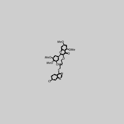 COc1cc(OC)c2c(=O)c(OCCCCSc3ncnc4cc(Cl)ccc34)c(-c3cc(OC)c(OC)c(OC)c3)oc2c1